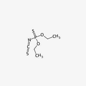 CCOP(=S)(N=C=S)OCC